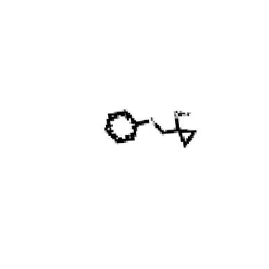 COC1(CSc2ccccc2)CC1